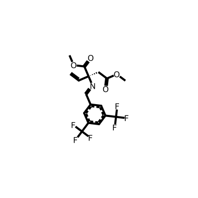 C=C[C@](CC(=O)OC)(N=Cc1cc(C(F)(F)F)cc(C(F)(F)F)c1)C(=O)OC